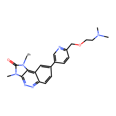 CC(C)n1c(=O)n(C)c2nnc3ccc(-c4ccc(COCCN(C)C)nc4)cc3c21